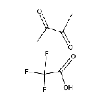 CC(=O)C(C)=O.O=C(O)C(F)(F)F